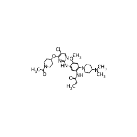 C=CC(=O)Nc1cc(Nc2ncc(Cl)c(OC3CCN(C(C)=O)CC3)n2)c(OC)cc1N1CCC(N(C)C)CC1